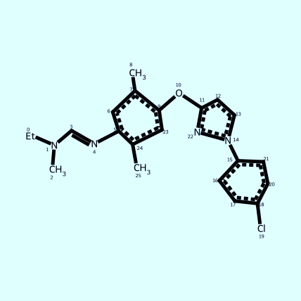 CCN(C)/C=N/c1cc(C)c(Oc2ccn(-c3ccc(Cl)cc3)n2)cc1C